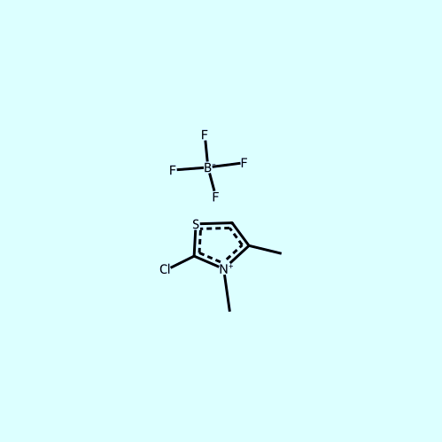 Cc1csc(Cl)[n+]1C.F[B-](F)(F)F